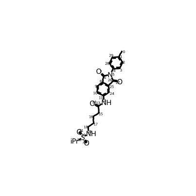 Cc1ccc(N2C(=O)c3ccc(NC(=O)CCCCNS(=O)(=O)C(C)C)cc3C2=O)cc1